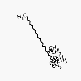 CCCCCCCCCCCCCCCCCC(CCC[Si](OC)(OC)OC)N(C)C